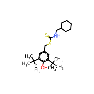 CC(C)(C)c1cc(CSC(=S)NCC2CCCCC2)cc(C(C)(C)C)c1O